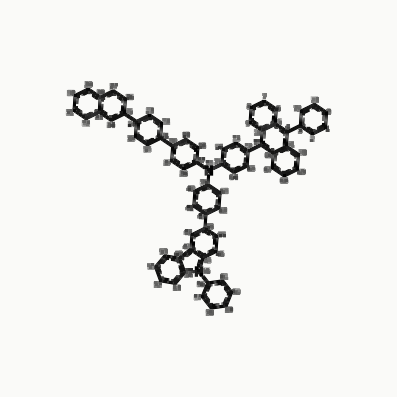 c1ccc(-c2c3ccccc3c(-c3ccc(N(c4ccc(-c5ccc(-c6ccc7ccccc7c6)cc5)cc4)c4ccc(-c5ccc6c(c5)c5ccccc5n6-c5ccccc5)cc4)cc3)c3ccccc23)cc1